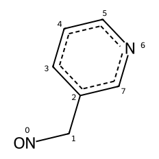 O=NCc1cccnc1